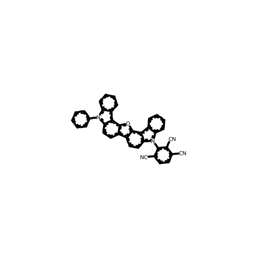 N#Cc1ccc(C#N)c(-n2c3ccccc3c3c4oc5c(ccc6c5c5ccccc5n6-c5ccccc5)c4ccc32)c1C#N